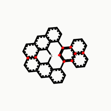 c1ccc2cc(-c3cccc4cc5ccccc5c(Sc5c6ccccc6cc6cccc(-c7ccc8ccccc8c7)c56)c34)ccc2c1